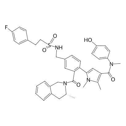 Cc1c(C(=O)N(C)c2ccc(O)cc2)cc(-c2ccc(CNS(=O)(=O)CCc3ccc(F)cc3)cc2C(=O)N2Cc3ccccc3C[C@H]2C)n1C